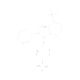 CS(=O)(=O)c1ccc(N2C3C=CC=C(C(F)(F)F)C3=CN2c2cccnc2)cc1